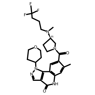 Cc1cc2[nH]c(=O)c3cnn(C4CCOCC4)c3c2cc1C(=O)N1CC[C@@H](N(C)CCCC(F)(F)F)C1